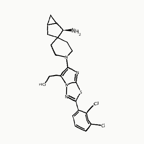 N[C@@H]1C2CC2CC12CCN(c1nc3sc(-c4cccc(Cl)c4Cl)nn3c1CO)CC2